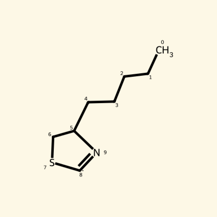 CCCCCC1CS[C]=N1